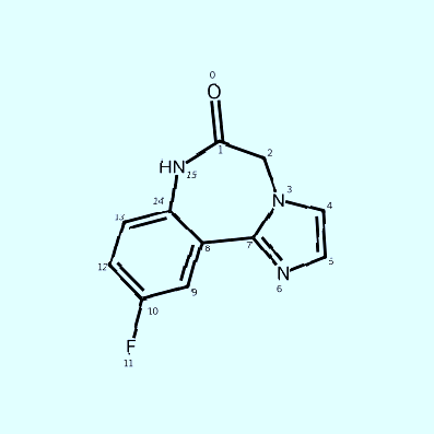 O=C1Cn2ccnc2-c2cc(F)ccc2N1